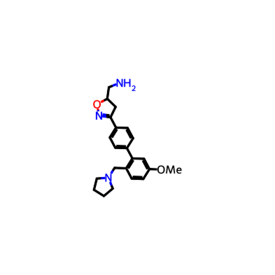 COc1ccc(CN2CCCC2)c(-c2ccc(C3=NOC(CN)C3)cc2)c1